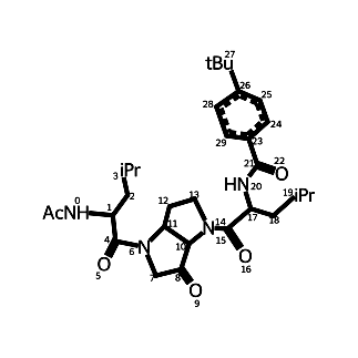 CC(=O)NC(CC(C)C)C(=O)N1CC(=O)C2C1CCN2C(=O)C(CC(C)C)NC(=O)c1ccc(C(C)(C)C)cc1